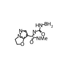 BNC(=O)N=S(=O)(NC)c1cnn2c1OCC2